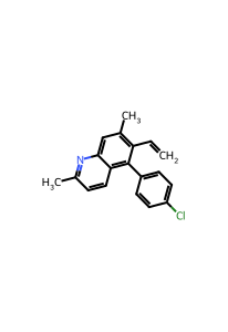 C=Cc1c(C)cc2nc(C)ccc2c1-c1ccc(Cl)cc1